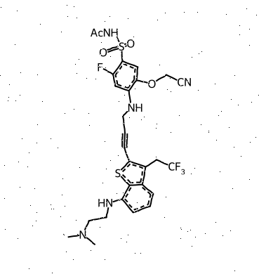 CC(=O)NS(=O)(=O)c1cc(OCC#N)c(NCC#Cc2sc3c(NCCN(C)C)cccc3c2CC(F)(F)F)cc1F